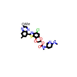 COc1cnc2c(-c3nc4c(Cl)cc5c(c4s3)OC[C@@H](OC(=O)N(C)c3ccc(N(C)C)nc3)O5)cc(C)cc2n1